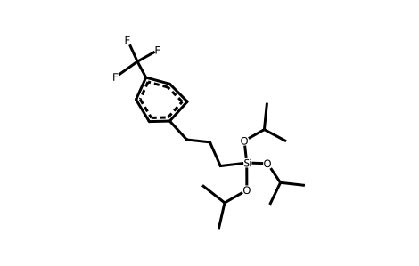 CC(C)O[Si](CCCc1ccc(C(F)(F)F)cc1)(OC(C)C)OC(C)C